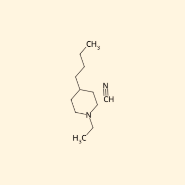 C#N.CCCCC1CCN(CC)CC1